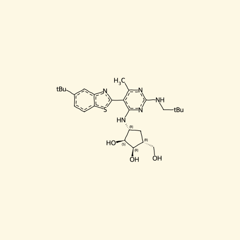 Cc1nc(NCC(C)(C)C)nc(N[C@@H]2C[C@H](CO)[C@@H](O)[C@H]2O)c1-c1nc2cc(C(C)(C)C)ccc2s1